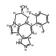 C[C@H]1CN2C(c3c(F)cccc3F)=Nc3cn[nH]c3-c3cnn(c32)C1